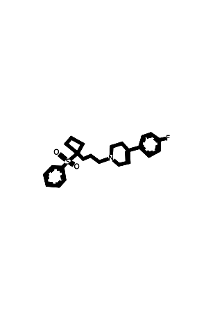 O=S(=O)(c1ccccc1)C1(CCCN2CC=C(c3ccc(F)cc3)CC2)CCC1